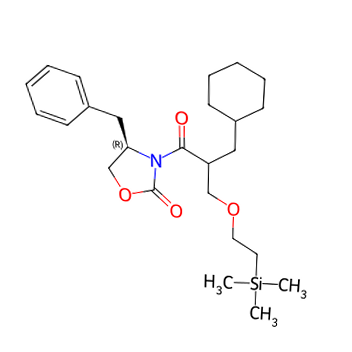 C[Si](C)(C)CCOCC(CC1CCCCC1)C(=O)N1C(=O)OC[C@H]1Cc1ccccc1